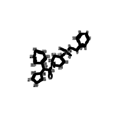 C[N+](C)(CCc1ccccc1)C1CCN(C(=O)C(c2ccccc2)C2CCCC2)CC1